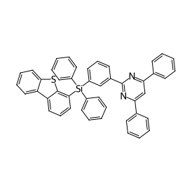 c1ccc(-c2cc(-c3ccccc3)nc(-c3cccc([Si](c4ccccc4)(c4ccccc4)c4cccc5c4sc4ccccc45)c3)n2)cc1